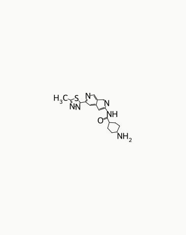 Cc1nnc(-c2cc3cc(NC(=O)C4CCC(N)CC4)ncc3cn2)s1